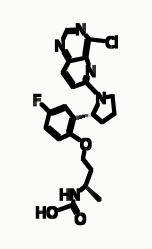 C[C@H](CCOc1ccc(F)cc1[C@H]1CCCN1c1ccc2ncnc(Cl)c2n1)NC(=O)O